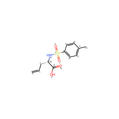 C=CC[C@H](NS(=O)(=O)c1ccc(C)cc1)C(=O)O